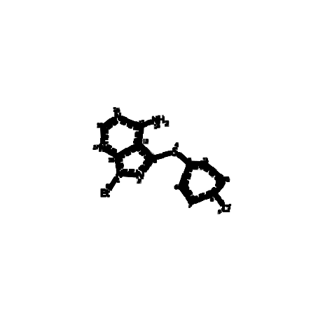 CCn1nc(Sc2ccc(Cl)cc2)c2c(N)ncnc21